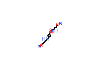 N#COCCCCCCNCC1CCC(COC(=O)NCCCCCCOC#N)CC1